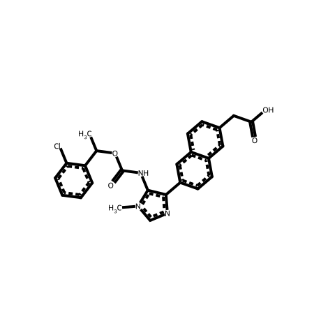 CC(OC(=O)Nc1c(-c2ccc3cc(CC(=O)O)ccc3c2)ncn1C)c1ccccc1Cl